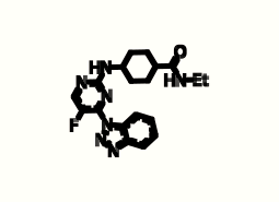 CCNC(=O)C1CCC(Nc2ncc(F)c(-n3nnc4ccccc43)n2)CC1